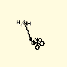 CNCCCCCCCCCN1CC[C@H](C(C(N)=O)(c2ccccc2)c2ccccc2)C1